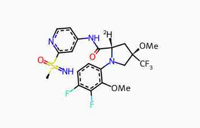 [2H][C@@]1(C(=O)Nc2ccnc([S@](C)(=N)=O)c2)C[C@](OC)(C(F)(F)F)CN1c1ccc(F)c(F)c1OC